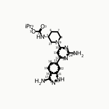 CC(C)OC(=O)N[C@@H]1CCCN(c2cc(-c3ccc4c(N)n[nH]c4c3)nc(N)n2)C1